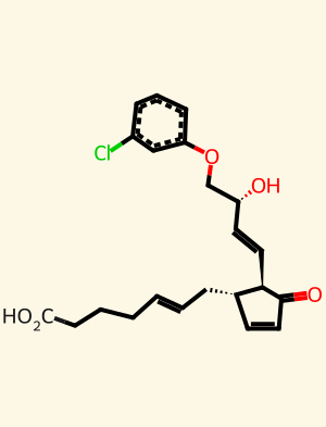 O=C(O)CCCC=CC[C@H]1C=CC(=O)[C@@H]1C=C[C@@H](O)COc1cccc(Cl)c1